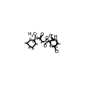 CN(C(=O)CS(=O)(=O)c1nc(Cl)c[nH]c1=O)C1CCCCC1